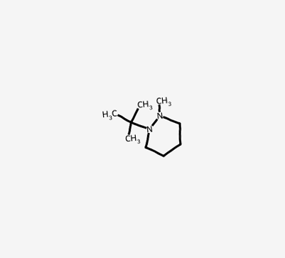 CN1CCCCN1C(C)(C)C